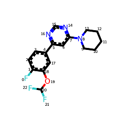 Fc1ccc(-c2cc(N3CCCCC3)ncn2)cc1OC(F)F